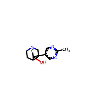 Cc1ncc(C2(O)CN3CCC2CC3)cn1